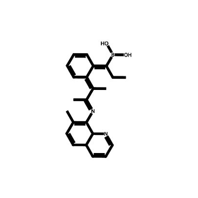 CC/C(B(O)O)=c1/cccc/c1=C(C)\C(C)=N\C1=C(C)C=CC2C=CC=NC12